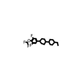 CCC1CCC(C2CCC(c3cc(F)c(OC(F)F)c(F)c3)CC2)CC1